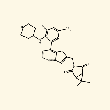 Cc1cc(C(F)(F)F)nc(-c2ccnc3cc(CN4C(=O)C5C(C4=O)C5(C)C)sc23)c1NC1CCNCC1